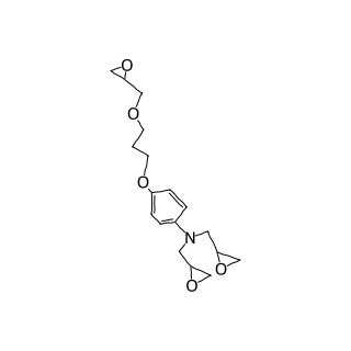 c1cc(N(CC2CO2)CC2CO2)ccc1OCCCOCC1CO1